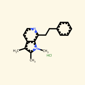 Cc1c(C)n(C)c2c(CCc3ccccc3)nccc12.Cl